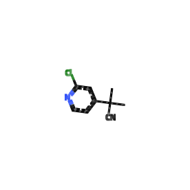 CC(C)(C#N)c1ccnc(Cl)c1